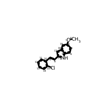 COc1ccc2[nH]c(C=Cc3ccccc3Cl)cc2c1